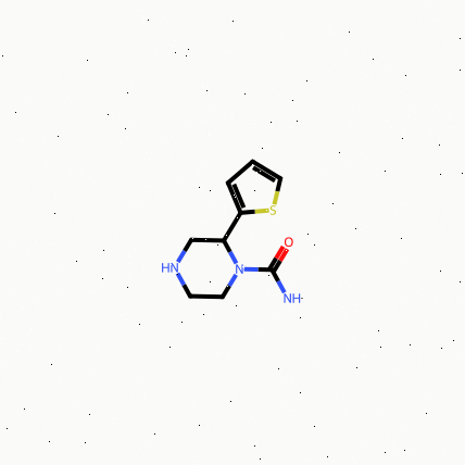 [NH]C(=O)N1CCNCC1c1cccs1